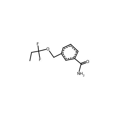 CCC(F)(F)OCc1cccc(C(N)=O)c1